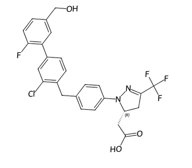 O=C(O)C[C@H]1CC(C(F)(F)F)=NN1c1ccc(Cc2ccc(-c3cc(CO)ccc3F)cc2Cl)cc1